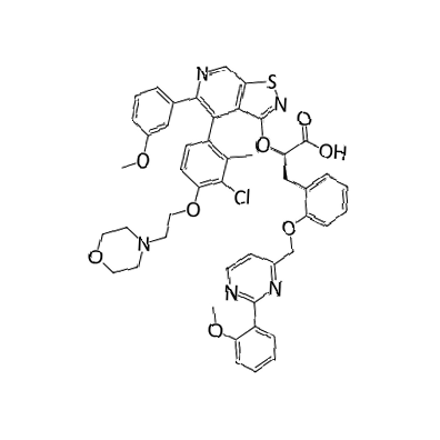 COc1cccc(-c2ncc3snc(O[C@H](Cc4ccccc4OCc4ccnc(-c5ccccc5OC)n4)C(=O)O)c3c2-c2ccc(OCCN3CCOCC3)c(Cl)c2C)c1